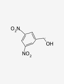 O=[N+]([O-])c1cc([CH]O)cc([N+](=O)[O-])c1